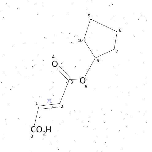 O=C(O)/C=C/C(=O)OC1CCCC1